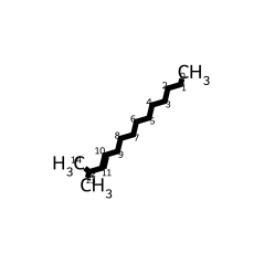 CCCCCCCCCCC=CC(C)C